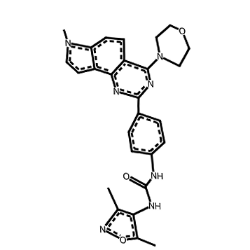 Cc1noc(C)c1NC(=O)Nc1ccc(-c2nc(N3CCOCC3)c3ccc4c(ccn4C)c3n2)cc1